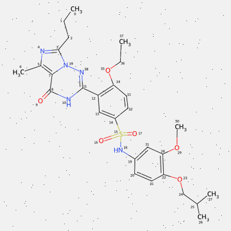 CCCc1nc(C)c2c(=O)[nH]c(-c3cc(S(=O)(=O)Nc4ccc(OCC(C)C)c(OC)c4)ccc3OCC)nn12